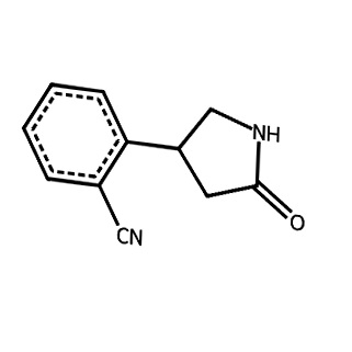 N#Cc1ccccc1C1CNC(=O)C1